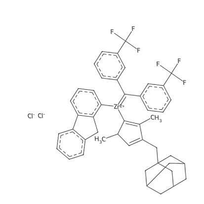 CC1=[C]([Zr+2](=[C](c2cccc(C(F)(F)F)c2)c2cccc(C(F)(F)F)c2)[c]2cccc3c2Cc2ccccc2-3)C(C)C=C1CC12CC3CC(CC(C3)C1)C2.[Cl-].[Cl-]